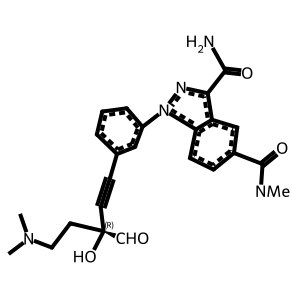 CNC(=O)c1ccc2c(c1)c(C(N)=O)nn2-c1cccc(C#C[C@@](O)(C=O)CCN(C)C)c1